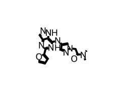 CN(C)C(=O)Cn1cc(Nc2nc(-c3ccco3)nc3cn[nH]c23)cn1